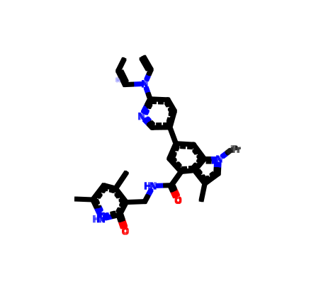 C=CN(/C=C\C)c1ccc(-c2cc(C(=O)NCc3c(C)cc(C)[nH]c3=O)c3c(C)cn(C(C)C)c3c2)cn1